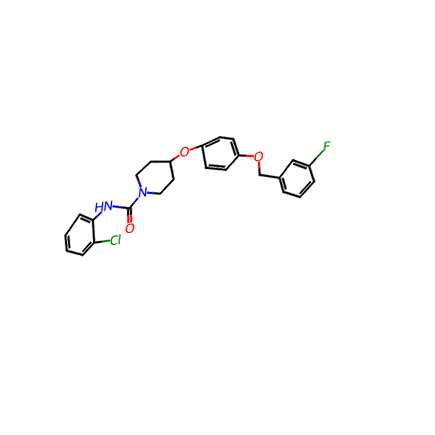 O=C(Nc1ccccc1Cl)N1CCC(Oc2ccc(OCc3cccc(F)c3)cc2)CC1